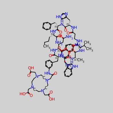 CCCC[C@H](NC(=O)[C@H](Cc1ccccc1)NC(=O)[C@H](Cc1c[nH]cn1)NC(=O)CCNC(=O)[C@@H](NC(=O)[C@H](C)NC(=O)[C@H](Cc1c[nH]c2ccccc12)NC(=O)[C@H](CCC(N)=O)NC(=O)[C@H](Cc1cccc(NC(=O)CN2CCN(CC(=O)O)CCN(CC(=O)O)CCN(CC(=O)O)CC2)c1)N(C(=O)CN)C(=O)c1ccc(N)cc1)C(C)C)C(N)=O